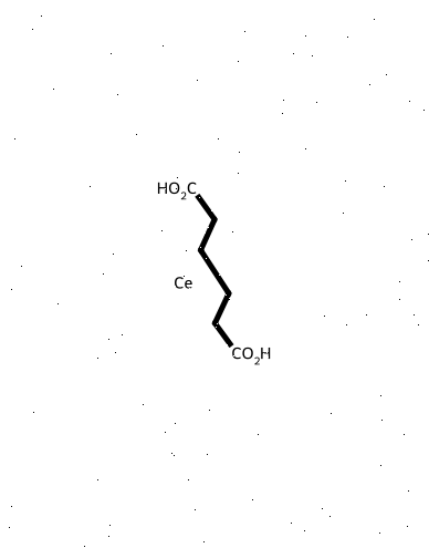 O=C(O)CCCCC(=O)O.[Ce]